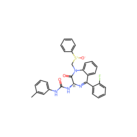 Cc1cccc(NC(=O)N[C@@H]2N=C(c3ccccc3F)c3ccccc3N(C[S+]([O-])c3ccccc3)C2=O)c1